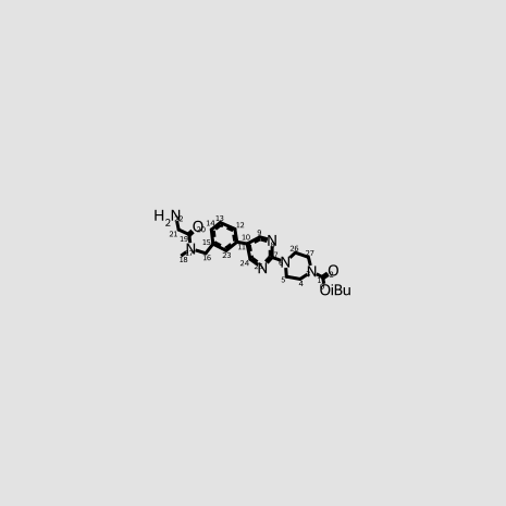 CC(C)COC(=O)N1CCN(c2ncc(-c3cccc(CN(C)C(=O)CN)c3)cn2)CC1